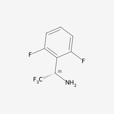 N[C@@H](c1c(F)cccc1F)C(F)(F)F